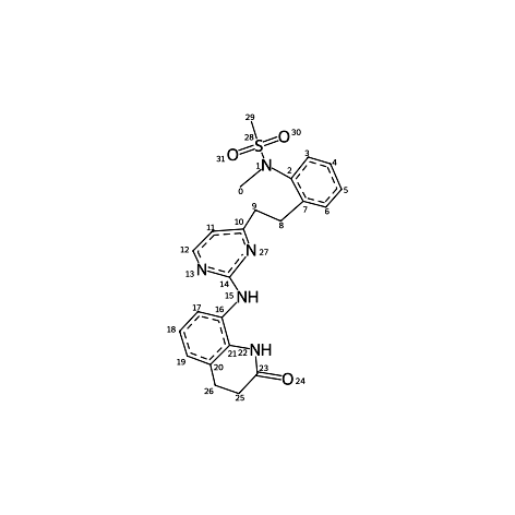 CN(c1ccccc1CCc1ccnc(Nc2cccc3c2NC(=O)CC3)n1)S(C)(=O)=O